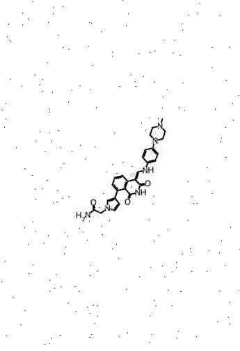 CN1CCN(c2ccc(N/C=C3\C(=O)NC(=O)c4c3cccc4-c3ccn(CC(N)=O)c3)cc2)CC1